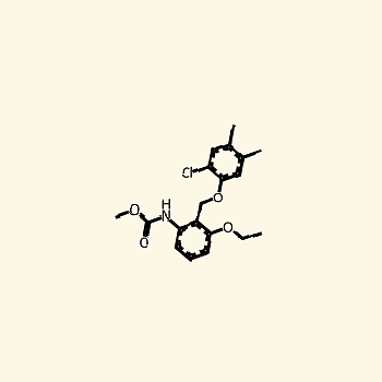 CCOc1cccc(NC(=O)OC)c1COc1cc(C)c(C)cc1Cl